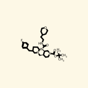 CC(C)(C)OC(=O)N1CC[C@@H](CN2CCCC(Cc3ccc(F)cc3)C2)[C@@H](NC(=O)NCCC2CCOCC2)C1